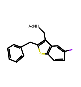 CC(=O)NCc1c(Cc2ccccc2)sc2ccc(I)cc12